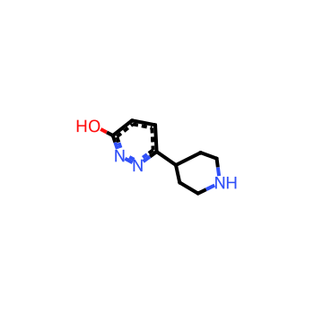 Oc1ccc(C2CCNCC2)nn1